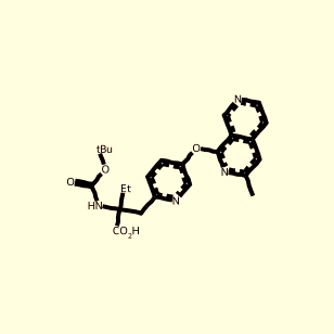 CCC(Cc1ccc(Oc2nc(C)cc3ccncc23)cn1)(NC(=O)OC(C)(C)C)C(=O)O